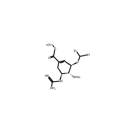 CCCCCCCCOC(=O)C1=C[C@@H](OC(CC)CC)[C@H](NC(C)=O)[C@@H](NC(=N)N)C1